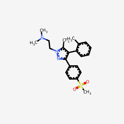 Cc1ccccc1-c1c(-c2ccc(S(C)(=O)=O)cc2)nn(CCN(C)C)c1C(F)(F)F